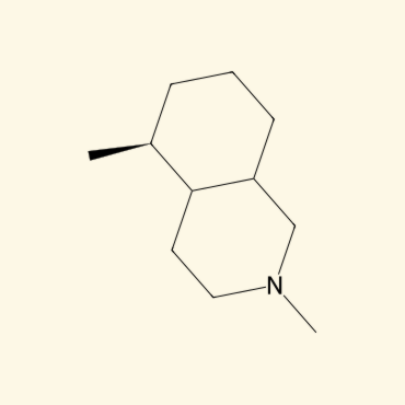 C[C@H]1CCCC2CN(C)CCC21